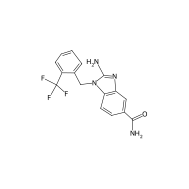 NC(=O)c1ccc2c(c1)nc(N)n2Cc1ccccc1C(F)(F)F